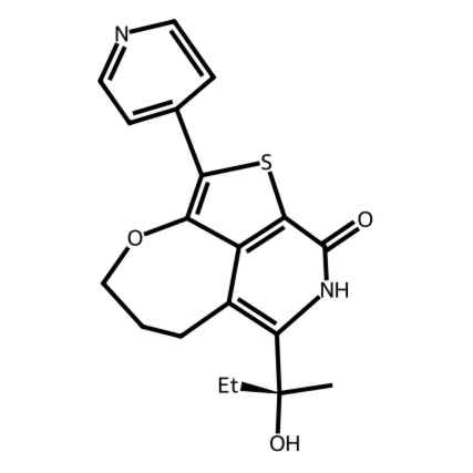 CC[C@@](C)(O)c1[nH]c(=O)c2sc(-c3ccncc3)c3c2c1CCCO3